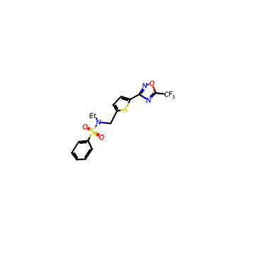 CCN(Cc1ccc(-c2noc(C(F)(F)F)n2)s1)S(=O)(=O)c1ccccc1